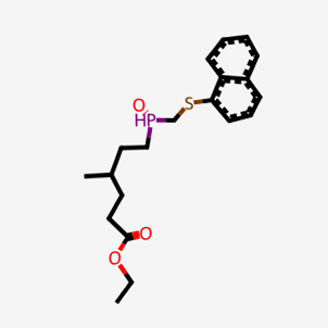 CCOC(=O)CCC(C)CC[PH](=O)CSc1cccc2ccccc12